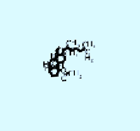 CC(=O)OC1CCC[C@H]2CC[C@H]3[C@@H]4CC[C@H]([C@H](C)CCCC(C)C)[C@@]4(C)CC[C@@H]3[C@@]12C